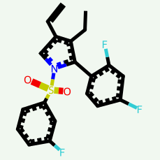 C=Cc1cn(S(=O)(=O)c2cccc(F)c2)c(-c2ccc(F)cc2F)c1CC